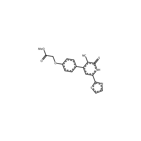 COC(=O)COc1ccc(-c2cc(-c3nccs3)[nH]c(=S)c2C#N)cc1